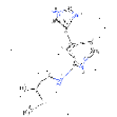 CCC(C)CNc1cc(-c2c[nH]cn2)ccn1